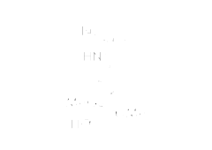 CCC(C)C(=O)NCCC[Si](CO)(OC)OC